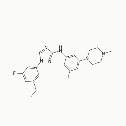 CCc1cc(F)cc(-n2cnc(Nc3cc(C)cc(N4CCN(C)CC4)c3)n2)c1